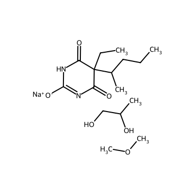 CC(O)CO.CCCC(C)C1(CC)C(=O)N=C([O-])NC1=O.COC.[Na+]